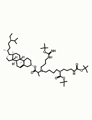 CC[C@H](CC[C@@H](C)[C@H]1CC[C@H]2[C@@H]3CC=C4C[C@@H](OC(=O)C(C)N(CCCCN(CCCNC(=O)OC(C)(C)C)C(=O)OC(C)(C)C)CCCNC(=N)OC(C)(C)C)CC[C@]4(C)[C@H]3CC[C@]12C)C(C)C